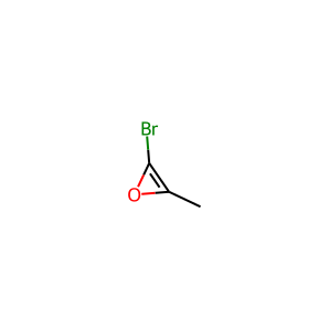 CC1=C(Br)O1